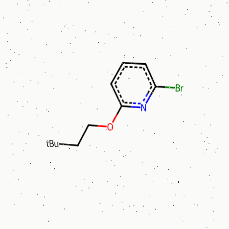 CC(C)(C)CCOc1cccc(Br)n1